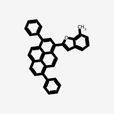 Cc1cccc2cc(-c3cc(-c4ccccc4)c4ccc5ccc(-c6ccccc6)c6ccc3c4c56)oc12